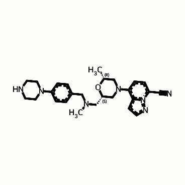 C[C@@H]1CN(c2ccc(C#N)n3nccc23)C[C@H](CN(C)Cc2ccc(N3CCNCC3)cc2)O1